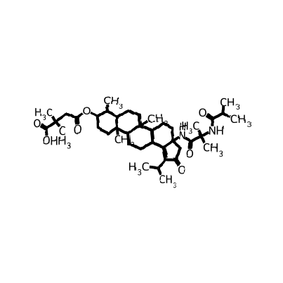 CC(C)C(=O)NC(C)(C)C(=O)NC12CCC3C(CCC4C3(C)CCC3C(C)C(OC(=O)CC(C)(C)C(=O)O)CCC34C)C1=C(C(C)C)C(=O)C2